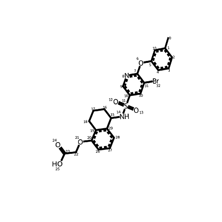 Cc1cccc(Oc2ncc(S(=O)(=O)NC3CCCc4c(OCC(=O)O)cccc43)cc2Br)c1